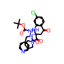 CC(C)(C)OC(=O)N[N+](C=O)(Cc1ccncc1)C1(C(=O)N2CCCC2)CC(=O)c2ccc(Cl)cc2N1